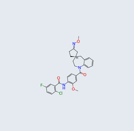 CON=C1CC[C@@]2(CCN(C(=O)c3ccc(NC(=O)c4cc(F)ccc4Cl)c(OC)c3)c3ccccc3C2)C1